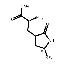 COC(=O)[C@@H](N)CC1C[C@H](C(F)(F)F)NC1=O